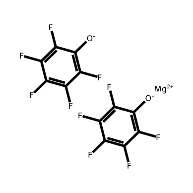 [Mg+2].[O-]c1c(F)c(F)c(F)c(F)c1F.[O-]c1c(F)c(F)c(F)c(F)c1F